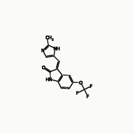 Cc1ncc(/C=C2\C(=O)Nc3ccc(OC(F)(F)F)cc32)[nH]1